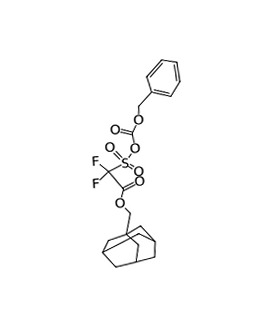 O=C(OCc1ccccc1)OS(=O)(=O)C(F)(F)C(=O)OCC12CC3CC(CC(C3)C1)C2